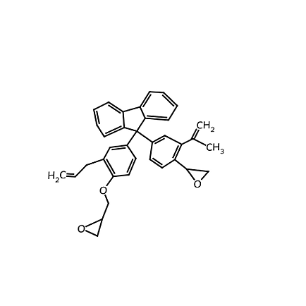 C=CCc1cc(C2(c3ccc(C4CO4)c(C(=C)C)c3)c3ccccc3-c3ccccc32)ccc1OCC1CO1